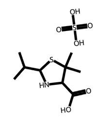 CC(C)C1NC(C(=O)O)C(C)(C)S1.O=S(=O)(O)O